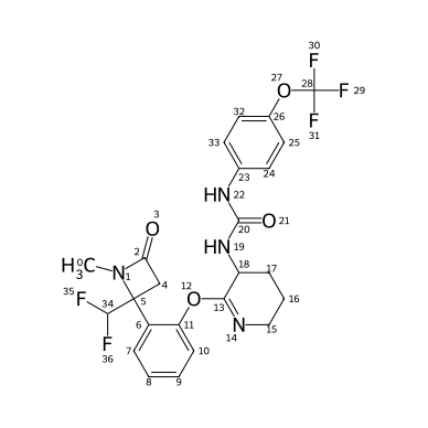 CN1C(=O)CC1(c1ccccc1OC1=NCCCC1NC(=O)Nc1ccc(OC(F)(F)F)cc1)C(F)F